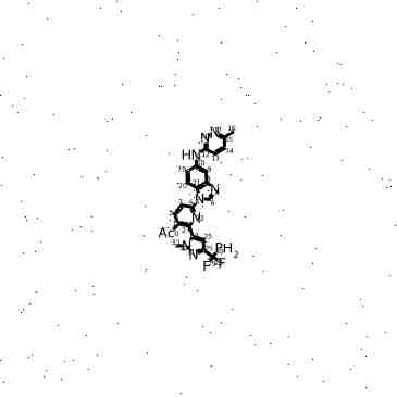 CC(=O)c1ccc(-n2cnc3cc(Nc4ccc(C)nn4)ccc32)nc1-c1cc(C(F)(F)P)nn1C